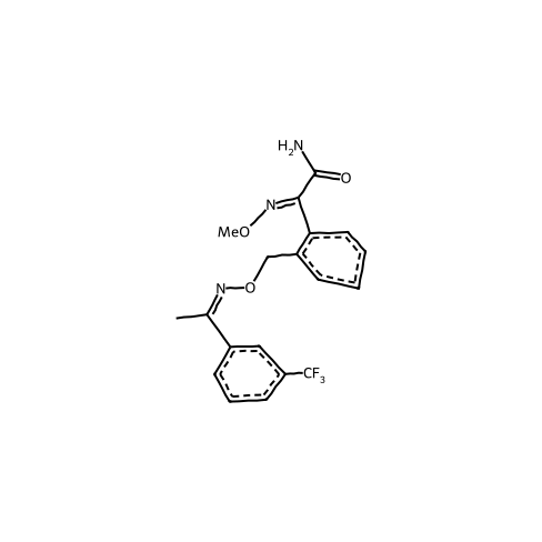 CO/N=C(/C(N)=O)c1ccccc1CO/N=C(/C)c1cccc(C(F)(F)F)c1